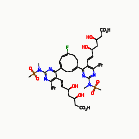 CC(C)c1nc(N(C)S(C)(=O)=O)nc(/C2=C/C=C(/F)CC/C(c3nc(N(C)S(C)(=O)=O)nc(C(C)C)c3/C=C/[C@@H](O)C[C@@H](O)CC(=O)O)=C\C2)c1/C=C/[C@@H](O)C[C@@H](O)CC(=O)O